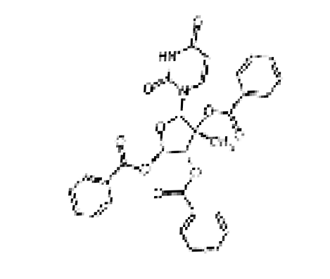 C[C@@]1(OC(=O)c2ccccc2)[C@H](OC(=O)c2ccccc2)[C@@H](OC(=O)c2ccccc2)O[C@H]1n1ccc(=O)[nH]c1=O